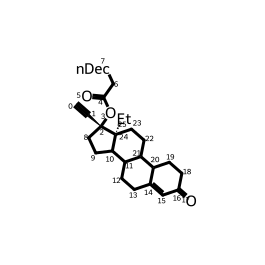 C#C[C@]1(OC(=O)CCCCCCCCCCC)CCC2C3CCC4=CC(=O)CCC4C3CC[C@@]21CC